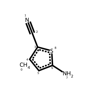 C.N#Cc1ccc(N)s1